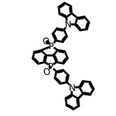 O=P1(c2ccc(-n3c4ccccc4c4ccccc43)cc2)c2cccc3c2-c2c1cccc2P3(=O)c1ccc(-n2c3ccccc3c3ccccc32)cc1